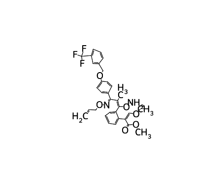 C=CCON=C(C(C)=C(ON)c1ccccc1C(=COC)C(=O)OC)c1ccc(OCc2cccc(C(F)(F)F)c2)cc1